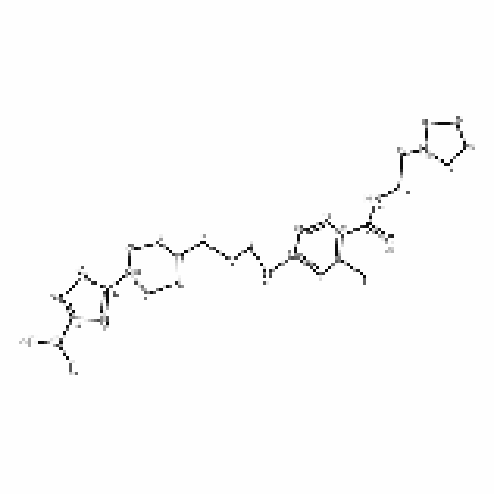 Cc1cc(OCCCC2CCN(c3nc(C(F)F)no3)CC2)ccc1C(=O)NCCN1CCCC1